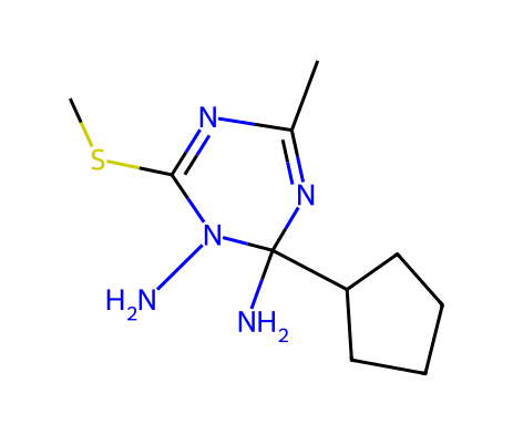 CSC1=NC(C)=NC(N)(C2CCCC2)N1N